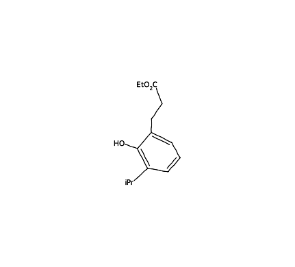 CCOC(=O)CCc1cccc(C(C)C)c1O